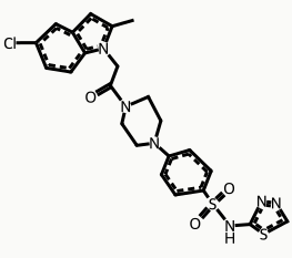 Cc1cc2cc(Cl)ccc2n1CC(=O)N1CCN(c2ccc(S(=O)(=O)Nc3nncs3)cc2)CC1